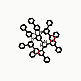 c1ccc(-c2cc(-c3ccccc3)cc(-c3cc(-c4cc(-c5ccccc5)cc(-c5ccccc5)c4)nc(-c4cc5c6c(c4)N(c4cc(-c7ccccc7)cc(-c7ccccc7)c4)c4ccc(-c7ccccc7)cc4B6c4cc(-c6ccccc6)ccc4N5c4cc(-c5ccccc5)cc(-c5ccccc5)c4)n3)c2)cc1